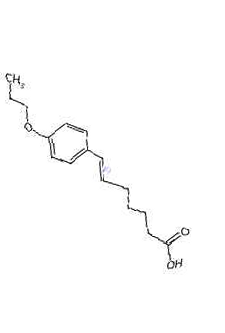 CCCOc1ccc(/C=C/CCCCC(=O)O)cc1